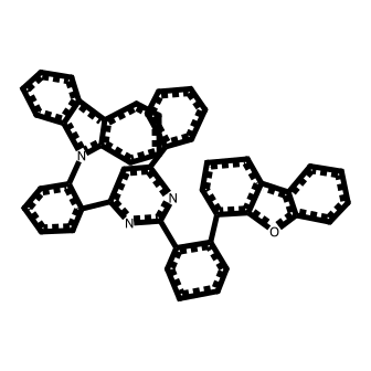 c1ccc(-c2cc(-c3ccccc3-n3c4ccccc4c4ccccc43)nc(-c3ccccc3-c3cccc4c3oc3ccccc34)n2)cc1